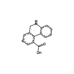 O=C(O)c1cncc2c1-c1ccccc1NC2